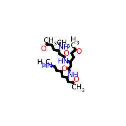 CNCCCCC(CC(C)=O)NC(=O)CC(CCC(C)=O)NC(=O)CC(CCC(C)=O)NC